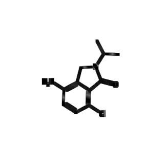 CC(C)N1Cc2c(N)ccc(Cl)c2C1=O